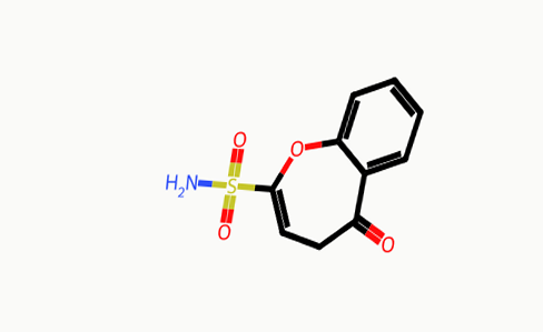 NS(=O)(=O)C1=CCC(=O)c2ccccc2O1